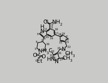 CCS(=O)(=O)N1CCC(c2c[nH]c3c(C(N)=O)cc(-c4csc(CN(C)Cc5c(C)n[nH]c5C)c4)cc23)CC1